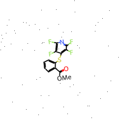 COC(=O)c1ccccc1Sc1c(F)c(F)nc(F)c1F